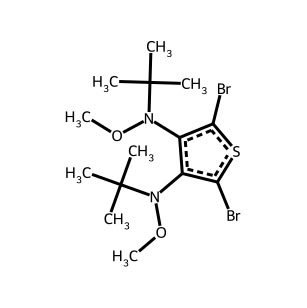 CON(c1c(Br)sc(Br)c1N(OC)C(C)(C)C)C(C)(C)C